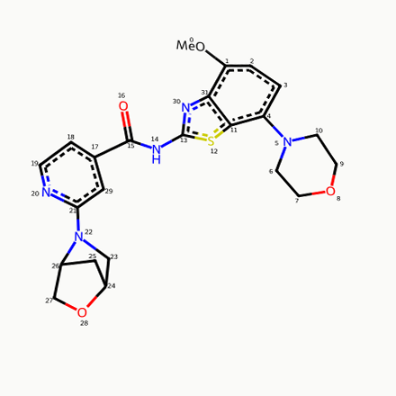 COc1ccc(N2CCOCC2)c2sc(NC(=O)c3ccnc(N4CC5CC4CO5)c3)nc12